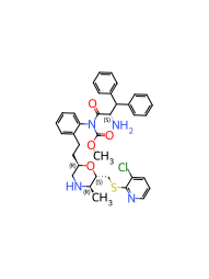 COC(=O)N(C(=O)[C@@H](N)C(c1ccccc1)c1ccccc1)c1ccccc1CC[C@@H]1CN[C@H](C)[C@@H](CSc2ncccc2Cl)O1